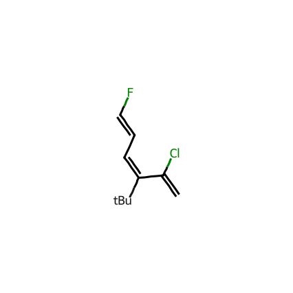 C=C(Cl)/C(=C\C=C\F)C(C)(C)C